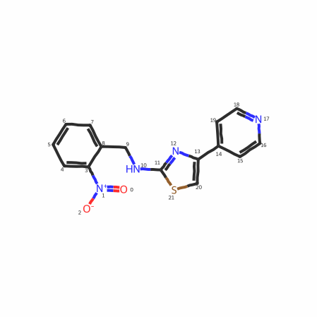 O=[N+]([O-])c1ccccc1CNc1nc(-c2ccncc2)cs1